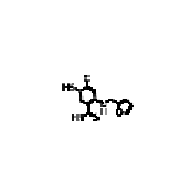 S=C(S)c1cc(S)c(Cl)cc1NCc1ccco1